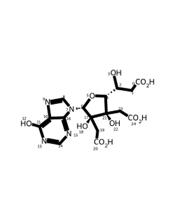 O=C(O)CC(O)[C@H]1O[C@@H](n2cnc3c(O)ncnc32)[C@@](O)(CC(=O)O)[C@@]1(O)CC(=O)O